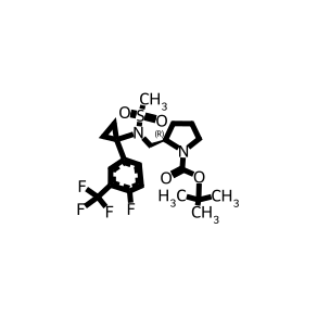 CC(C)(C)OC(=O)N1CCC[C@@H]1CN(C1(c2ccc(F)c(C(F)(F)F)c2)CC1)S(C)(=O)=O